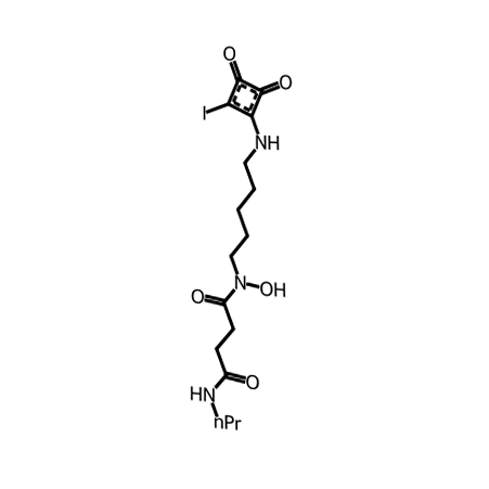 CCCNC(=O)CCC(=O)N(O)CCCCCNc1c(I)c(=O)c1=O